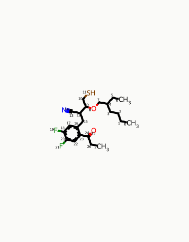 CCCCC(CC)COC(CS)C(C#N)Cc1cc(F)c(F)cc1C(=O)CC